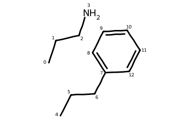 CCCN.CCCc1ccccc1